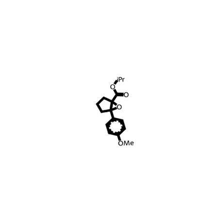 COc1ccc(C23CCCC2(C(=O)OC(C)C)O3)cc1